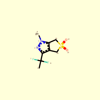 CC(C)n1nc(C(C)(F)F)c2c1CS(=O)(=O)C2